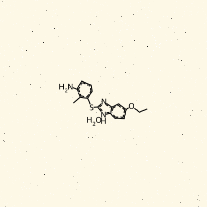 CCOc1ccc2[nH]c(Sc3cccc(N)c3C)nc2c1.O